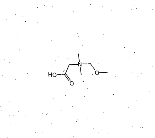 COC[N+](C)(C)CC(=O)O